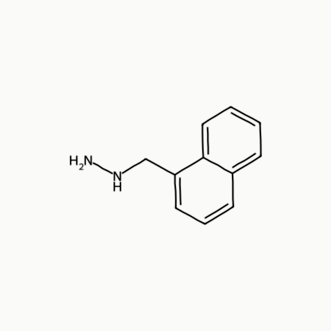 NNCc1cccc2ccccc12